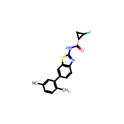 Cc1ccc(C#N)cc1-c1ccc2nc(NC(=O)[C@@H]3CC3F)sc2c1